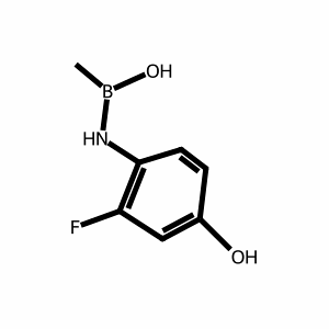 CB(O)Nc1ccc(O)cc1F